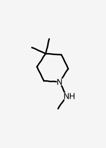 CNN1CCC(C)(C)CC1